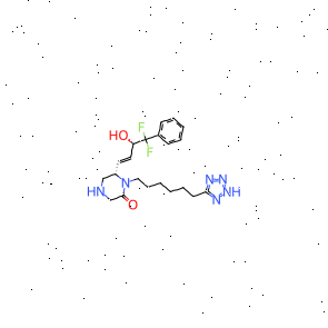 O=C1CNC[C@H](/C=C/[C@@H](O)C(F)(F)c2ccccc2)N1CCCCCCc1nn[nH]n1